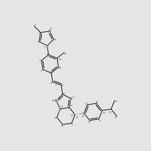 Cc1cn(-c2ccc(/C=C/c3nc4n(n3)CCC[C@H]4c3ccc(C(C)C)cc3)cc2C)cn1